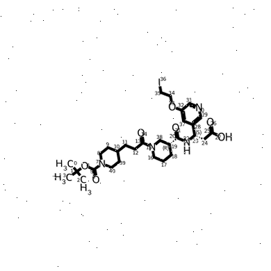 CC(C)(C)OC(=O)N1CCC(CCC(=O)N2CCC[C@@H](C(=O)N[C@@H](CC(=O)O)c3cncc(OCCI)c3)C2)CC1